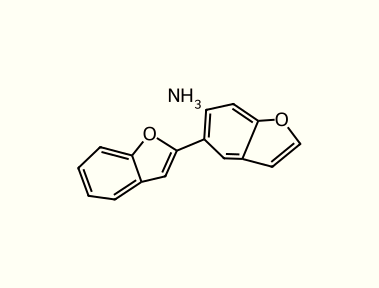 N.c1ccc2oc(-c3ccc4occc4c3)cc2c1